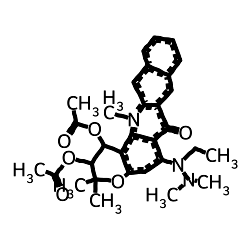 CCN(c1cc2c(c3c1c(=O)c1cc4ccccc4cc1n3C)C(OC(C)=O)C(OC(C)=O)C(C)(C)O2)N(C)C